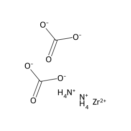 O=C([O-])[O-].O=C([O-])[O-].[NH4+].[NH4+].[Zr+2]